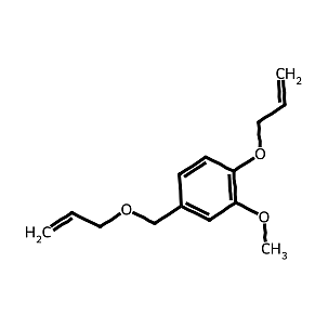 C=CCOCc1ccc(OCC=C)c(OC)c1